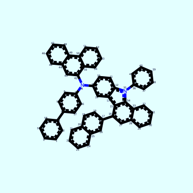 c1ccc(-c2ccc(N(c3ccc4c(c3)c3c(-c5ccc6ccccc6c5)cc5ccccc5c3n4-c3ccccc3)c3cc4ccccc4c4ccccc34)cc2)cc1